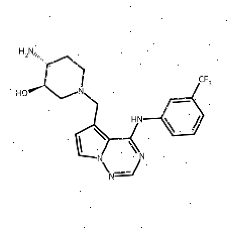 N[C@@H]1CCN(Cc2ccn3ncnc(Nc4cccc(C(F)(F)F)c4)c23)C[C@H]1O